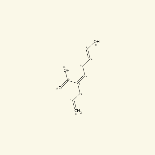 C=CCC(=CCC=CO)C(=O)O